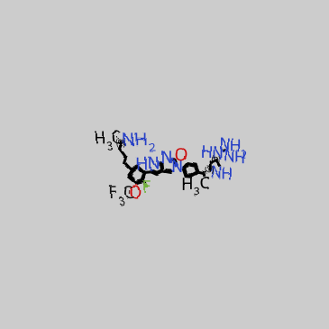 CC(c1ccc(-n2cc3cc(-c4cc(CCC[C@H](C)N)cc(OC(F)(F)F)c4F)[nH]c3nc2=O)cc1)[C@@H]1C[C@@H](NC(=N)N)CN1